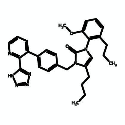 CCCCc1cn(-c2c(CCC)cccc2OC)c(=O)n1Cc1ccc(-c2cccnc2-c2nnn[nH]2)cc1